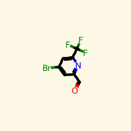 O=Cc1cc(Br)cc(C(F)(F)F)n1